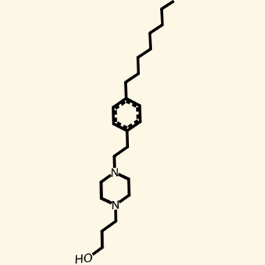 CCCCCCCCc1ccc(CCN2CCN(CCCO)CC2)cc1